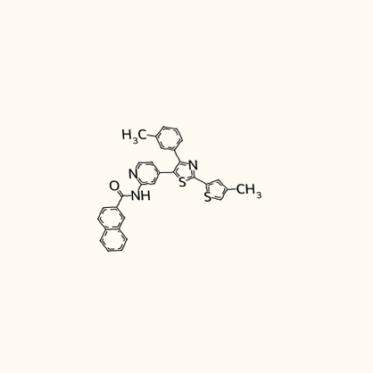 Cc1cccc(-c2nc(-c3cc(C)cs3)sc2-c2ccnc(NC(=O)c3ccc4ccccc4c3)c2)c1